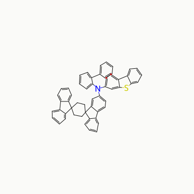 c1ccc(-c2ccccc2N(c2ccc3c(c2)C2(CCC4(CC2)c2ccccc2-c2ccccc24)c2ccccc2-3)c2ccc3c(c2)sc2ccccc23)cc1